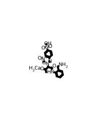 CC(=O)C(N=Nc1ccc(S(=O)(=O)O)cc1[N+](=O)[O-])C(=O)Nc1ccccc1CN.[CaH2]